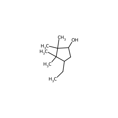 CCC1CC(O)C(C)(C)C1(C)C